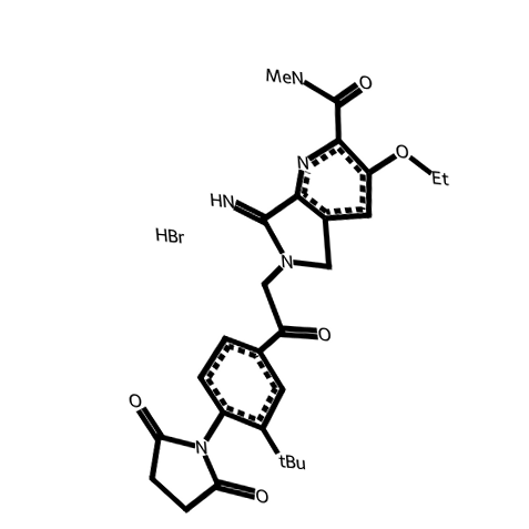 Br.CCOc1cc2c(nc1C(=O)NC)C(=N)N(CC(=O)c1ccc(N3C(=O)CCC3=O)c(C(C)(C)C)c1)C2